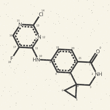 O=C1NCC2(CC2)c2cc(Nc3nc(Cl)ncc3F)ccc21